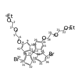 CCOCCOCCOc1ccc(C2(c3ccc(OCCOCCOCC)cc3)c3cc(Br)ccc3-c3ccc(Br)cc32)cc1